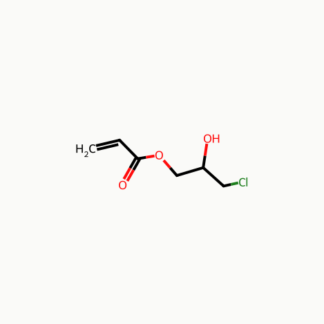 C=CC(=O)OCC(O)CCl